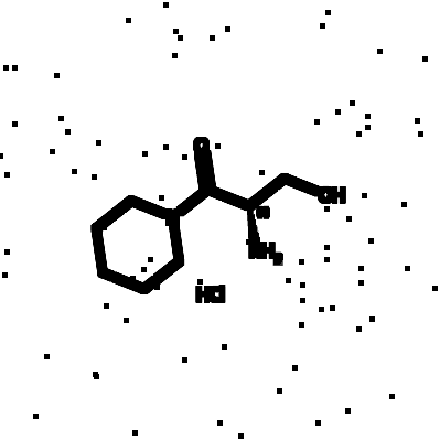 Cl.N[C@@H](CO)C(=O)N1CCCCC1